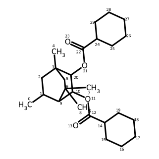 CC1CC2(C)CC(C)(C)C1C(OC(=O)C1CCCCC1)C2OC(=O)C1CCCCC1